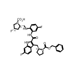 O=C(Nc1cc(F)ccc1NC[C@@H]1C[C@H](F)CN1C(=O)O)c1[nH]c2cc(F)ccc2c1C[C@@H]1CCCN1C(=O)OCc1ccccc1